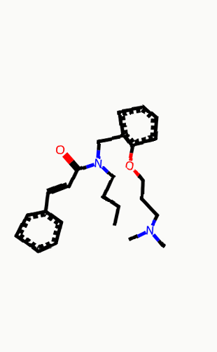 CCCCN(Cc1ccccc1OCCCN(C)C)C(=O)C=Cc1ccccc1